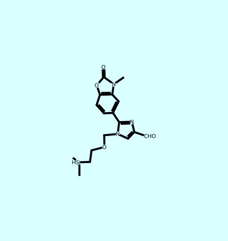 Cn1c(=O)oc2ccc(-c3nc(C=O)cn3COCC[SiH](C)C)cc21